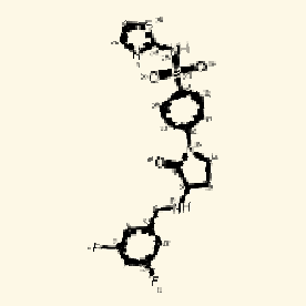 O=C1C(NCc2cc(F)cc(F)c2)CCN1c1ccc(S(=O)(=O)Nc2nccs2)cc1